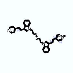 C/C=C(\C=C/NC)/C=C/c1cn(CCSSCCn2cc(/C=C/c3ccncc3)c3ccccc32)c2ccccc12